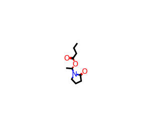 CCCC(=O)OC(C)N1CCCC1=O